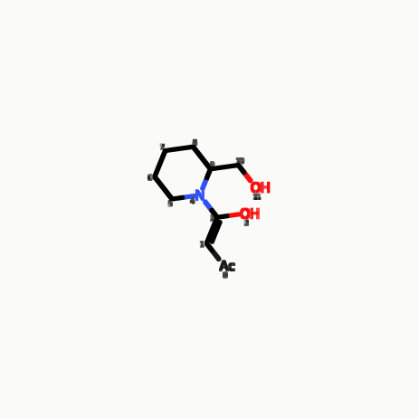 CC(=O)/C=C(\O)N1CCCCC1CO